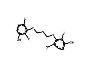 Oc1ccc(Cl)c(OCCCOc2c(Cl)ccc(O)c2Cl)c1Cl